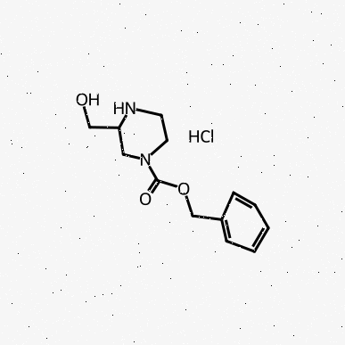 Cl.O=C(OCc1ccccc1)N1CCNC(CO)C1